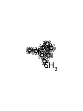 Cc1ccc(-c2ccc(N(c3ccc(-c4ccccc4)cc3)c3ccc4c(c3)C3(c5ccccc5-4)c4ccccc4-c4c3ccc3ccccc43)cc2)cc1